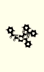 O=C(NC(=O)N1CCN(C(=O)c2ccccc2)C(C(=O)NC(c2ccccc2)c2ccccc2)C1)c1ccccc1